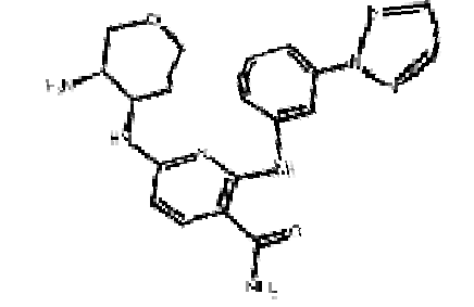 NC(=O)c1ccc(N[C@@H]2CCOC[C@@H]2N)nc1Nc1cccc(-n2nccn2)c1